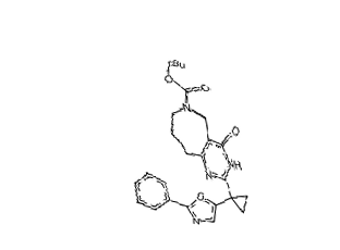 CC(C)(C)OC(=O)N1CCCc2nc(C3(c4cnc(-c5ccccc5)o4)CC3)[nH]c(=O)c2C1